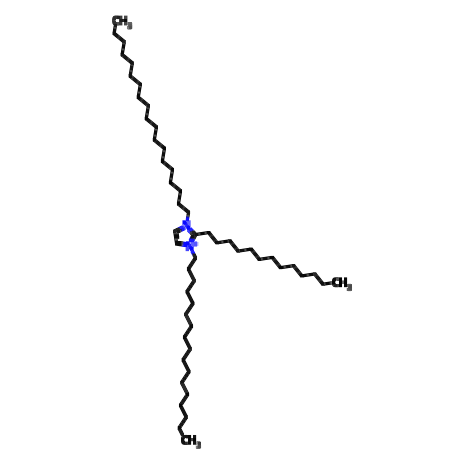 CCCCCCCCCCCCCCCCCCCn1cc[n+](CCCCCCCCCCCCCCCCC)c1CCCCCCCCCCCCC